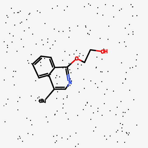 CC(C)(C)c1cnc(OCCO)c2ccccc12